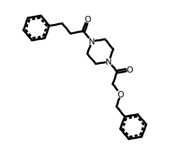 O=C(CCc1ccccc1)N1CCN(C(=O)COCc2ccccc2)CC1